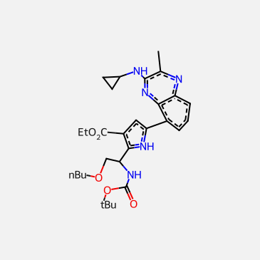 CCCCOCC(NC(=O)OC(C)(C)C)c1[nH]c(-c2cccc3nc(C)c(NC4CC4)nc23)cc1C(=O)OCC